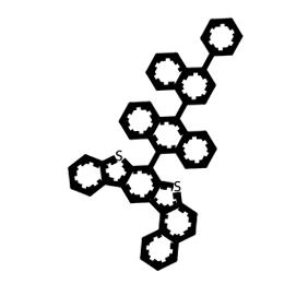 c1ccc(-c2ccc(-c3c4ccccc4c(-c4c5sc6ccccc6c5cc5c4sc4ccc6ccccc6c45)c4ccccc34)c3ccccc23)cc1